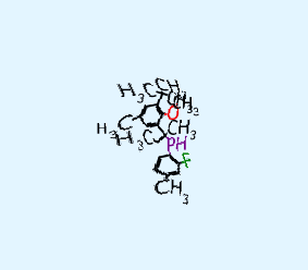 CCC(C)(Pc1ccc(C)cc1F)c1cc(C)cc(C(C)(C)C)c1OC